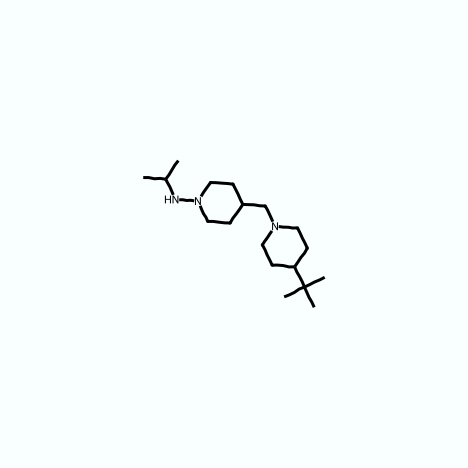 CC(C)NN1CCC(CN2CCC(C(C)(C)C)CC2)CC1